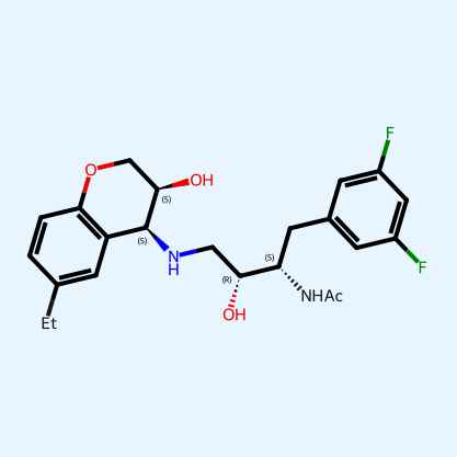 CCc1ccc2c(c1)[C@H](NC[C@@H](O)[C@H](Cc1cc(F)cc(F)c1)NC(C)=O)[C@H](O)CO2